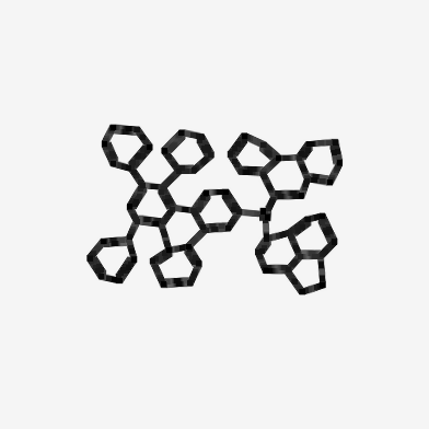 c1ccc(-c2cc(-c3ccccc3)c3c4ccccc4c4cc(N(c5ccc6c7c(cccc57)CC6)c5cc6ccccc6c6ccccc56)ccc4c3c2-c2ccccc2)cc1